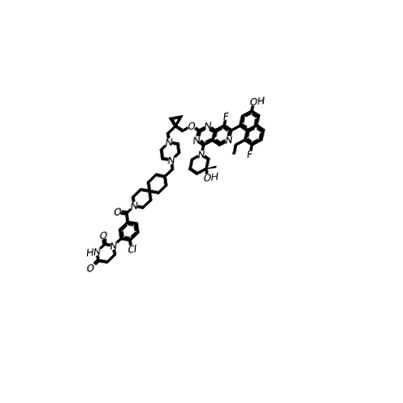 CCc1c(F)ccc2cc(O)cc(-c3ncc4c(N5CCC[C@@](C)(O)C5)nc(OCC5(CN6CCN(CC7CCC8(CC7)CCN(C(=O)c7ccc(Cl)c(N9CCC(=O)NC9=O)c7)CC8)CC6)CC5)nc4c3F)c12